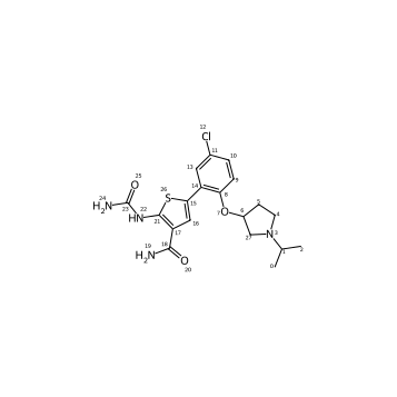 CC(C)N1CCC(Oc2ccc(Cl)cc2-c2cc(C(N)=O)c(NC(N)=O)s2)C1